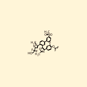 Cc1nc(-c2ccc(OC(F)F)c(F)c2)c(-c2cc(-c3cccc(S(C)(=O)=O)c3)ccc2-c2cc(C(F)(F)CO)nn2C)o1